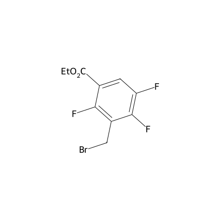 CCOC(=O)c1cc(F)c(F)c(CBr)c1F